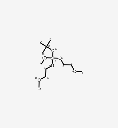 COCCO[Si](OC)(OCCOC)OC(C)(C)C